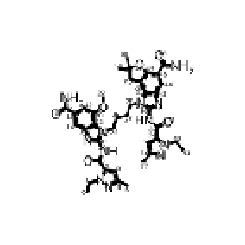 CCn1nc(C)cc1C(=O)Nc1nc2cc(C(N)=O)cc(OC)c2n1CCCCn1c(NC(=O)c2cc(C)nn2CC)nc2cc(C(N)=O)c3c(c21)CC(C)(C)O3